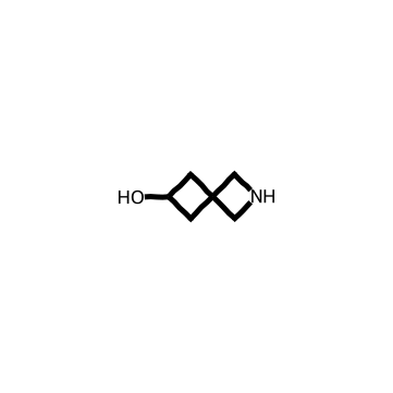 OC1CC2(CNC2)C1